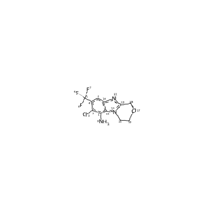 Nc1c(Cl)c(C(F)(F)F)cc2nc3n(c12)CCOC3